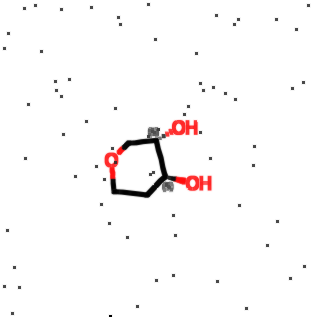 O[C@H]1CCOC[C@@H]1O